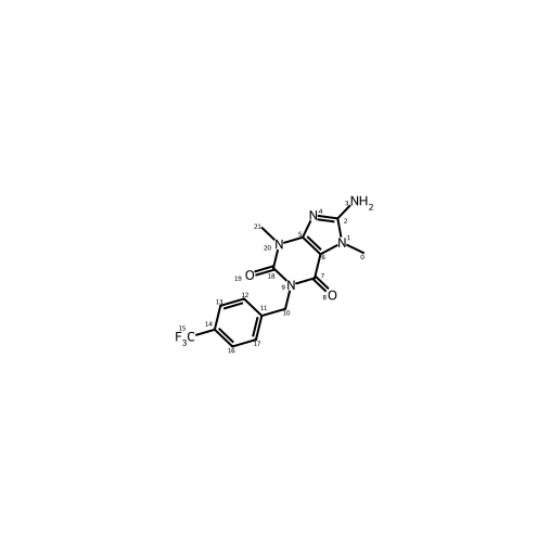 Cn1c(N)nc2c1c(=O)n(Cc1ccc(C(F)(F)F)cc1)c(=O)n2C